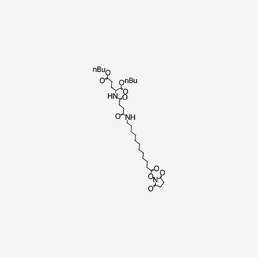 CCCCOC(=O)CC[C@H](NC(=O)CCC(=O)NCCCCCCCCCCCC(=O)ON1C(=O)CCC1=O)C(=O)OCCCC